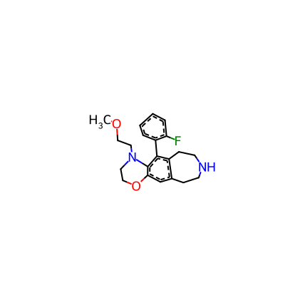 COCCN1CCOc2cc3c(c(-c4ccccc4F)c21)CCNCC3